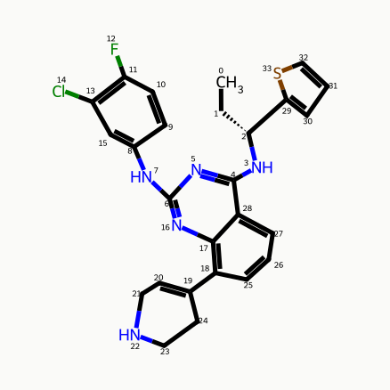 CC[C@@H](Nc1nc(Nc2ccc(F)c(Cl)c2)nc2c(C3=CCNCC3)cccc12)c1cccs1